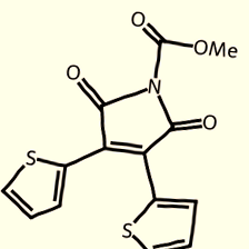 COC(=O)N1C(=O)C(c2cccs2)=C(c2cccs2)C1=O